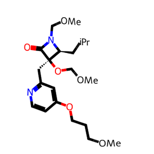 COCCCOc1ccnc(C[C@]2(OCOC)C(=O)N(COC)[C@H]2CC(C)C)c1